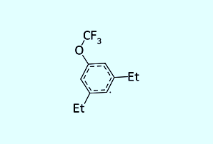 CCc1[c]c(CC)cc(OC(F)(F)F)c1